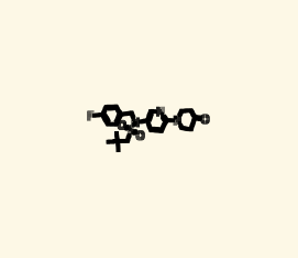 CC(C)(C)CS(=O)(=O)N(Cc1ccc(F)cc1)c1ccc(N2CCC(=O)CC2)nc1